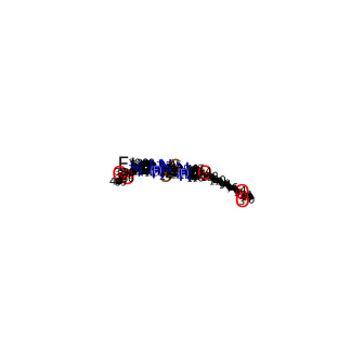 C=CC(=O)OCCCCCCCCCOc1ccc(/N=N/c2cc3sc(/N=N/c4ccc(N(CC)CCOC(=O)C=C)cc4)nc3s2)cc1